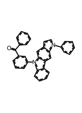 O=C(c1ccccc1)c1cccc(-n2c3ccccc3c3cc4c(ccn4-c4ccccc4)cc32)c1